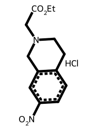 CCOC(=O)CN1CCc2ccc([N+](=O)[O-])cc2C1.Cl